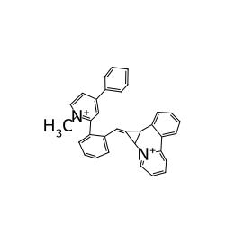 C[n+]1ccc(-c2ccccc2)cc1-c1ccccc1C=C1C2c3ccccc3-c3cccc[n+]3C12